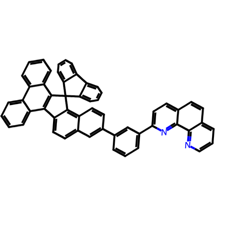 c1cc(-c2ccc3c4c(ccc3c2)-c2c(c3ccccc3c3ccccc23)C42c3ccccc3-c3ccccc32)cc(-c2ccc3ccc4cccnc4c3n2)c1